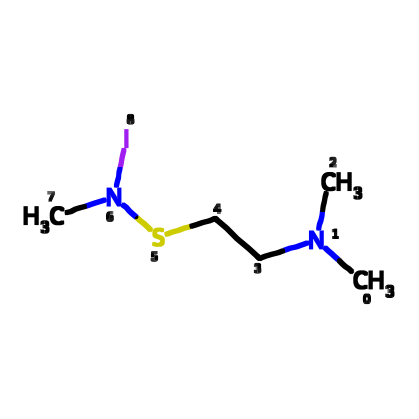 CN(C)CCSN(C)I